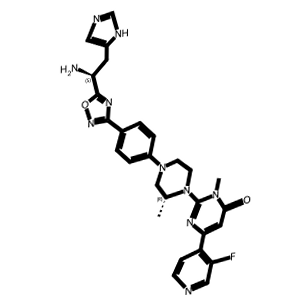 C[C@@H]1CN(c2ccc(-c3noc([C@@H](N)Cc4cnc[nH]4)n3)cc2)CCN1c1nc(-c2ccncc2F)cc(=O)n1C